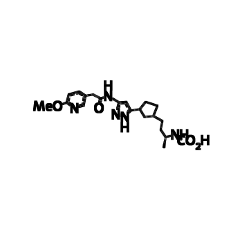 COc1ccc(CC(=O)Nc2cc(C3CCC(CC[C@H](C)NC(=O)O)C3)[nH]n2)cn1